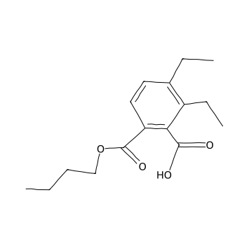 CCCCOC(=O)c1ccc(CC)c(CC)c1C(=O)O